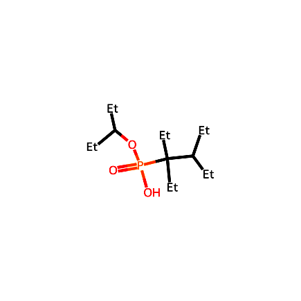 CCC(CC)OP(=O)(O)C(CC)(CC)C(CC)CC